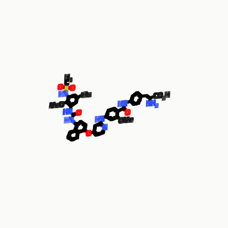 COc1cc(Nc2cc(Oc3ccc(NC(=O)Nc4cc(C(C)(C)C)cc(NS(C)(=O)=O)c4OC)c4ccccc34)ccn2)ccc1C(=O)Nc1ccc(C[C@H](N)C(=O)O)cc1